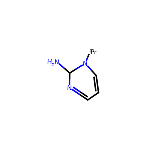 CC(C)N1C=CC=NC1N